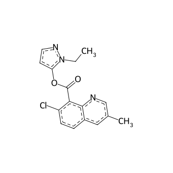 CCn1nccc1OC(=O)c1c(Cl)ccc2cc(C)cnc12